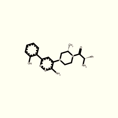 CC(C)[C@H](N)C(=O)N1CCN(c2cc(-c3ccccc3O)nnc2N)C[C@@H]1C